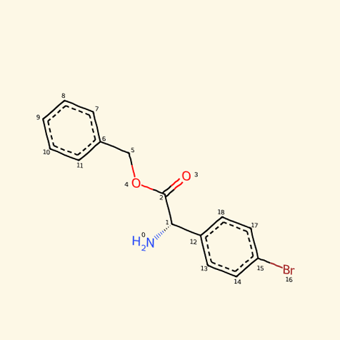 N[C@H](C(=O)OCc1ccccc1)c1ccc(Br)cc1